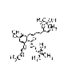 COCOc1cc(OC)cc(/C=C/CCC(C=O)OC(C)(C)O)c1C(=O)OCC[Si](C)(C)C